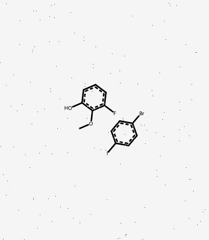 Brc1ccc(I)cc1.COc1c(O)cccc1F